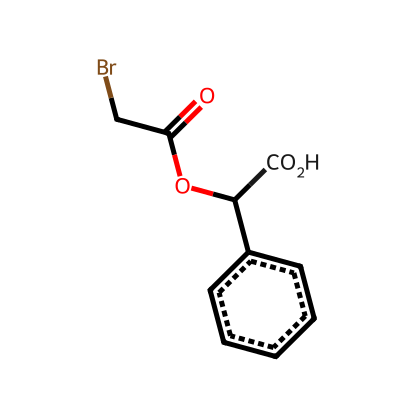 O=C(CBr)OC(C(=O)O)c1ccccc1